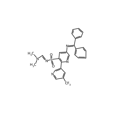 CN(C)C=NS(=O)(=O)c1cc(N=C(c2ccccc2)c2ccccc2)cnc1-c1cncc(C(F)(F)F)c1